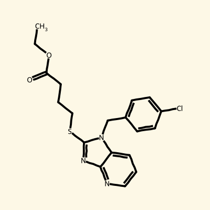 CCOC(=O)CCCSc1nc2ncccc2n1Cc1ccc(Cl)cc1